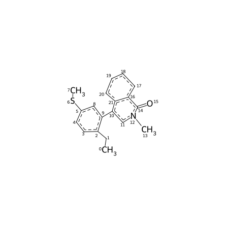 CCc1ccc(SC)cc1-c1cn(C)c(=O)c2ccccc12